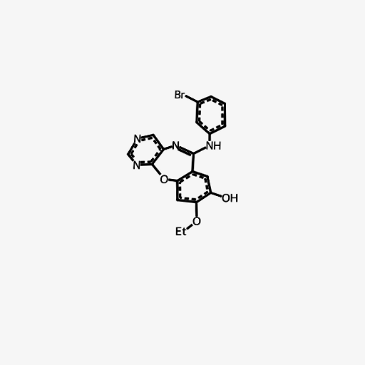 CCOc1cc2c(cc1O)C(Nc1cccc(Br)c1)=Nc1cncnc1O2